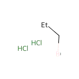 Cl.Cl.[B]CCC